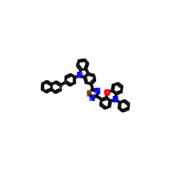 c1ccc(N2c3ccccc3Oc3c(-c4nsc(-c5ccc6c7ccccc7n(-c7ccc(-c8ccc9ccccc9c8)cc7)c6c5)n4)cccc32)cc1